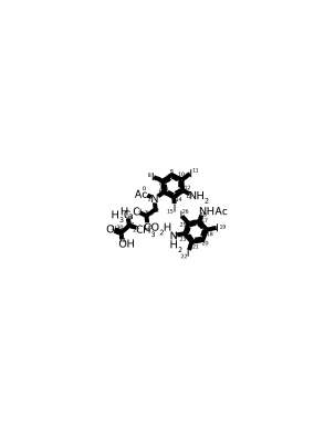 CC(=O)N(CC(C)C(=O)O)c1c(I)cc(I)c(N)c1I.CC(=O)Nc1c(I)cc(I)c(N)c1I.CC(C)C(=O)O